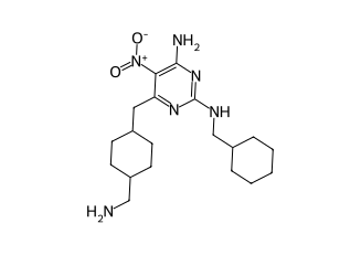 NCC1CCC(Cc2nc(NCC3CCCCC3)nc(N)c2[N+](=O)[O-])CC1